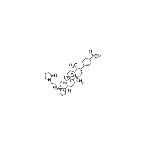 CC1C(C2=CCC(C(=O)O)CC2)=CCC2(C)C1CCC1(C)C2CCC2[C@H]3CCC[C@]3(NCCN3CCCC3=O)CC[C@]21C